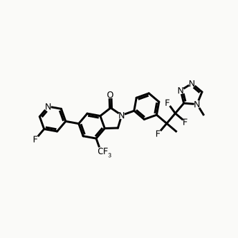 Cn1cnnc1C(F)(F)C(C)(F)c1cccc(N2Cc3c(cc(-c4cncc(F)c4)cc3C(F)(F)F)C2=O)c1